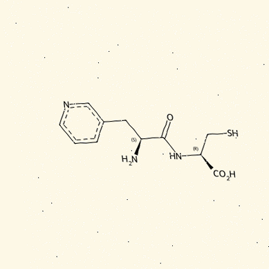 N[C@@H](Cc1cccnc1)C(=O)N[C@@H](CS)C(=O)O